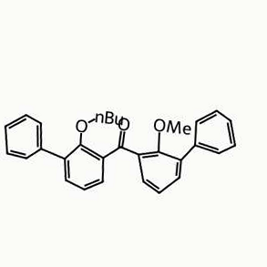 CCCCOc1c(C(=O)c2cccc(-c3ccccc3)c2OC)cccc1-c1ccccc1